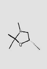 C[C@H]1CN(C)C(C)(C)O1